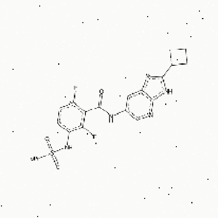 CCCS(=O)(=O)Nc1ccc(F)c(C(=O)Nc2cnc3[nH]c(C4CCC4)nc3c2)c1F